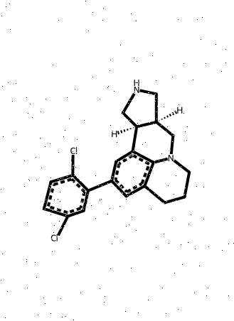 Clc1ccc(Cl)c(-c2cc3c4c(c2)[C@H]2CNC[C@H]2CN4CCC3)c1